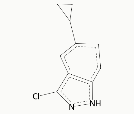 Clc1n[nH]c2ccc(C3CC3)cc12